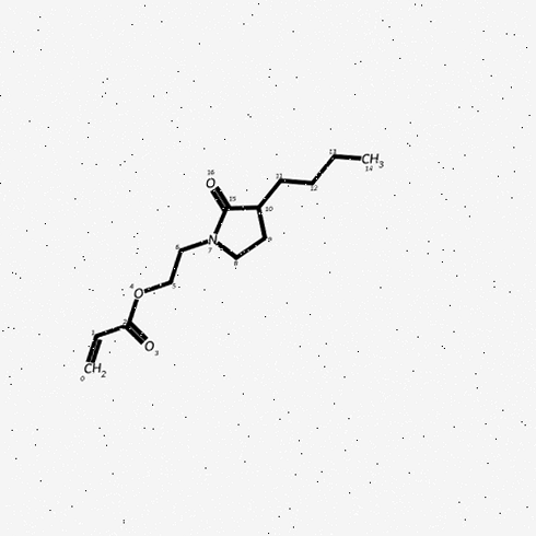 C=CC(=O)OCCN1CCC(CCCC)C1=O